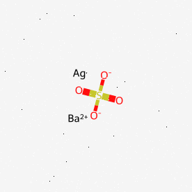 O=S(=O)([O-])[O-].[Ag].[Ba+2]